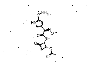 CON=C(C(=O)N[C@@H]1C(=O)N[C@H]1OC(C)=O)c1c[nH]c(SN)c1